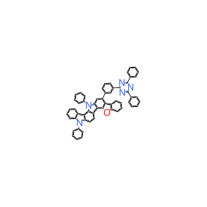 c1ccc(-c2nc(-c3ccccc3)nc(-c3cccc(-c4cc5c(c6ccc7c(c8ccccc8n7-c7ccccc7)c6n5-c5ccccc5)c5oc6ccccc6c45)c3)n2)cc1